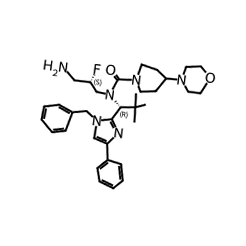 CC(C)(C)[C@H](c1nc(-c2ccccc2)cn1Cc1ccccc1)N(C[C@@H](F)CN)C(=O)N1CCC(N2CCOCC2)CC1